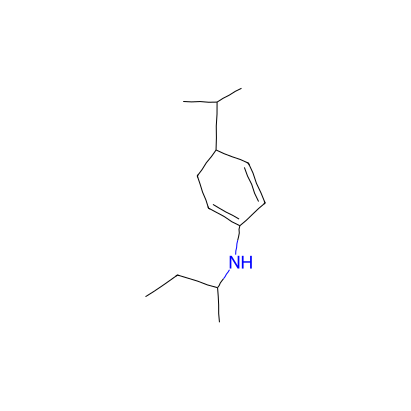 CCC(C)NC1=CCC(C(C)C)C=C1